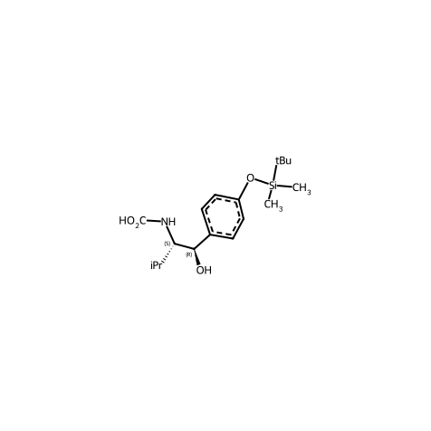 CC(C)[C@H](NC(=O)O)[C@H](O)c1ccc(O[Si](C)(C)C(C)(C)C)cc1